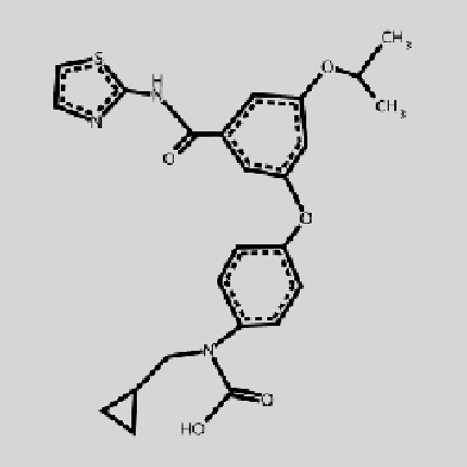 CC(C)Oc1cc(Oc2ccc(N(CC3CC3)C(=O)O)cc2)cc(C(=O)Nc2nccs2)c1